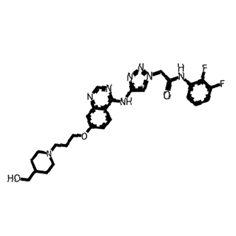 O=C(Cn1cc(Nc2ncnc3cc(OCCCN4CCC(CO)CC4)ccc23)nn1)Nc1cccc(F)c1F